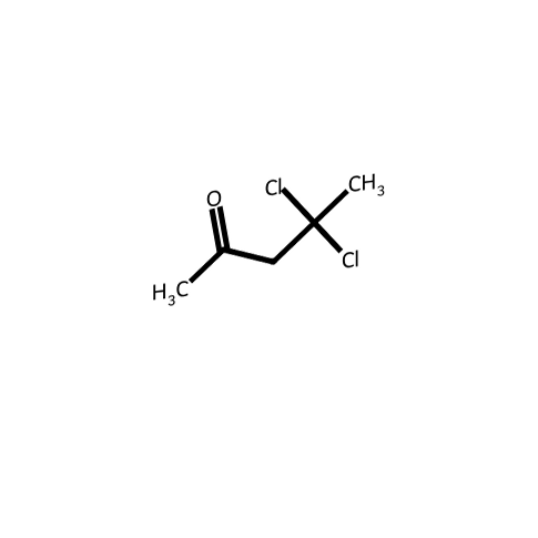 CC(=O)CC(C)(Cl)Cl